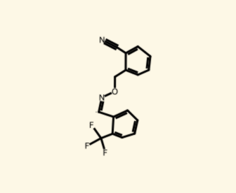 N#Cc1ccccc1CO/N=[C]\c1ccccc1C(F)(F)F